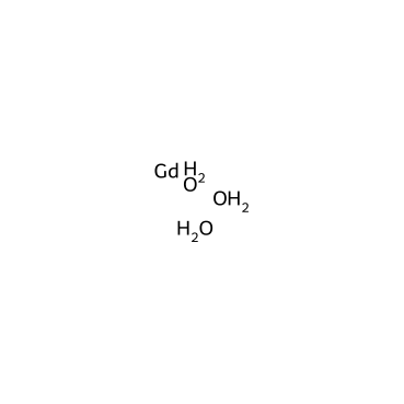 O.O.O.[Gd]